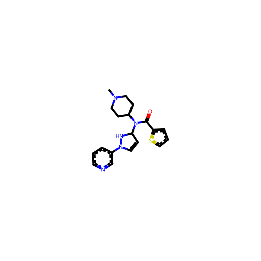 CN1CCC(N(C(=O)c2cccs2)C2C=CN(c3cccnc3)N2)CC1